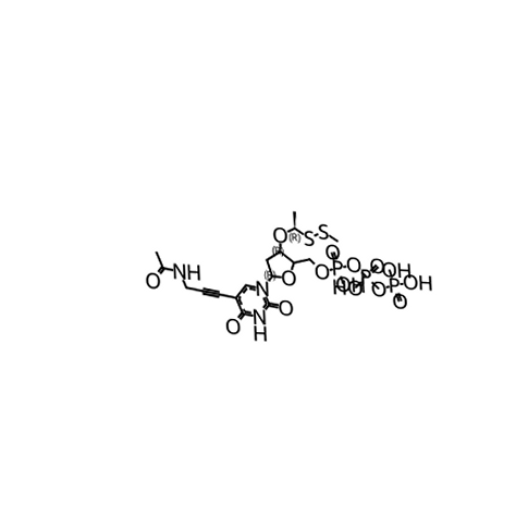 CSS[C@H](C)O[C@@H]1C[C@H](n2cc(C#CCNC(C)=O)c(=O)[nH]c2=O)OC1COP(=O)(O)OP(=O)(O)OP(=O)(O)O